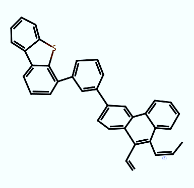 C=Cc1c(/C=C\C)c2ccccc2c2cc(-c3cccc(-c4cccc5c4sc4ccccc45)c3)ccc12